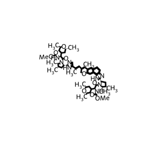 COC(=O)N[C@H](C(=O)N1[C@H](c2ncc(/C(C)=C/C3=C(C)c4cc5ccc6nc([C@@H]7C[C@H](C)[C@H](C)N7C(=O)[C@@H](NC(=O)OC)C7C[C@@H](C)O[C@H](C)C7)[nH]c6c5cc4OC3)[nH]2)C[C@H](C)[C@@H]1C)C1C[C@@H](C)O[C@H](C)C1